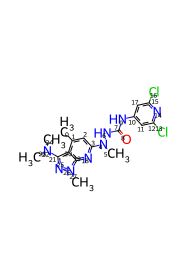 Cc1cc(N(C)NC(=O)Nc2cc(Cl)nc(Cl)c2)nc2c1c(N(C)C)nn2C